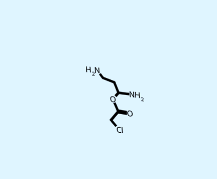 NCCC(N)OC(=O)CCl